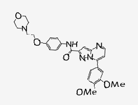 COc1ccc(-c2ccnc3cc(C(=O)Nc4ccc(OCCN5CCOCC5)cc4)nn23)cc1OC